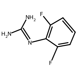 NC(N)=Nc1c(F)cccc1F